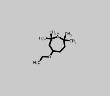 CCOC1CCC(C)(C)NC(C)(C)C1